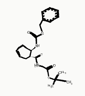 CC(C)(C)OC(=O)NC(=O)[C@@H]1CC=CC[C@H]1NC(=O)OCc1ccccc1